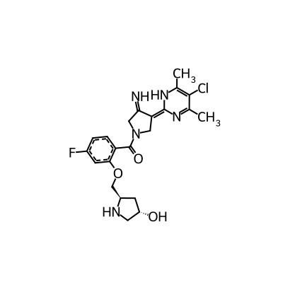 CC1=N/C(=C2\CN(C(=O)c3ccc(F)cc3OC[C@H]3C[C@H](O)CN3)CC2=N)NC(C)=C1Cl